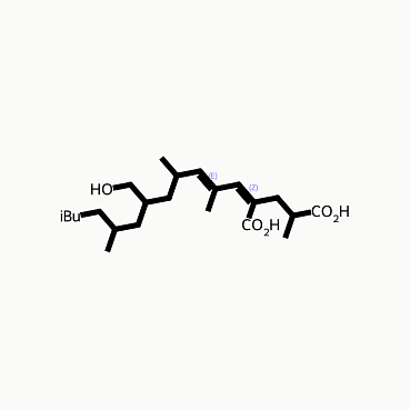 CCC(C)CC(C)CC(CO)CC(C)/C=C(C)/C=C(/CC(C)C(=O)O)C(=O)O